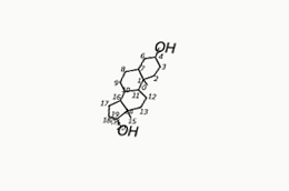 CC12CCC(O)CC1CCC1C2CCC2(C)C1CC[C@@H]2O